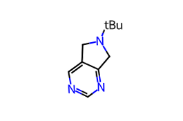 CC(C)(C)N1Cc2cncnc2C1